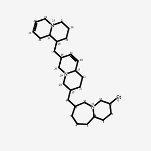 CCC1CCC2CCCC(CC3CCC4C=CC(CC5CCCN6CC=CCC56)CN4C3)CN2C1